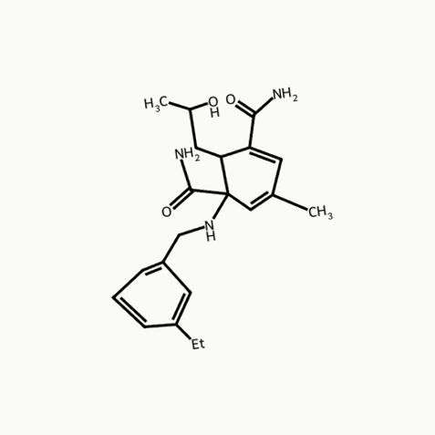 CCc1cccc(CNC2(C(N)=O)C=C(C)C=C(C(N)=O)C2CC(C)O)c1